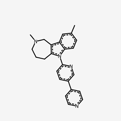 Cc1ccc2c(c1)c1c(n2-c2ccc(-c3ccncc3)cn2)CCCN(C)C1